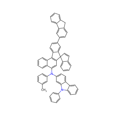 Cc1cccc(N(c2ccc3c4ccccc4n(-c4ccccc4)c3c2)c2cc3c(c4ccccc24)-c2ccc(-c4ccc5c(c4)-c4ccccc4C5)cc2C32C=Cc3ccccc32)c1